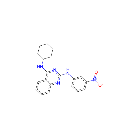 O=[N+]([O-])c1cccc(Nc2nc(NC3CCCCC3)c3ccccc3n2)c1